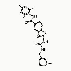 Cc1cccc(CNC(=O)Nc2nc3ccc(C(=O)Nc4c(C)cc(C)cc4C)cc3s2)c1